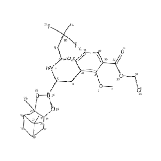 COc1c(CC(NC(=O)CC(C)(F)F)B2OC3CC4CC(C4(C)C)C3(C)O2)cccc1C(=O)OCCl